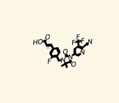 CC1(C)C(=O)N(c2cnc(C#N)c(C(F)(F)F)c2)C(=O)N1Cc1ccc(/C=C/C(=O)O)cc1F